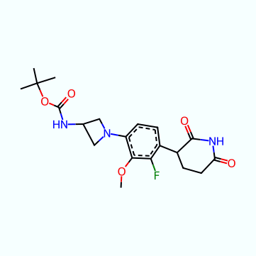 COc1c(N2CC(NC(=O)OC(C)(C)C)C2)ccc(C2CCC(=O)NC2=O)c1F